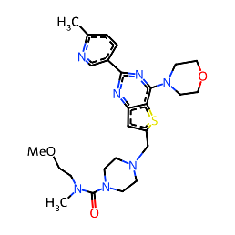 COCCN(C)C(=O)N1CCN(Cc2cc3nc(-c4ccc(C)nc4)nc(N4CCOCC4)c3s2)CC1